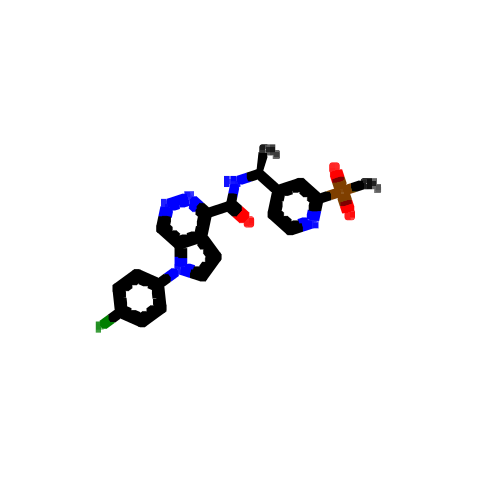 C[C@H](NC(=O)c1nncc2c1ccn2-c1ccc(F)cc1)c1ccnc(S(C)(=O)=O)c1